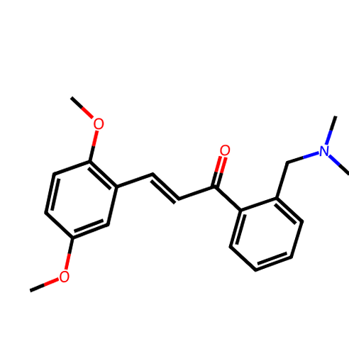 COc1ccc(OC)c(C=CC(=O)c2ccccc2CN(C)C)c1